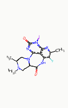 Cc1nc2c3c(nc(=O)n2I)N2CC(C)N(C)CC2C(=O)Nc3c1F